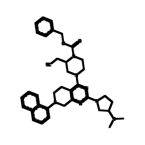 CN(C)C1CCN(c2nc3c(c(N4CCN(C(=O)OCc5ccccc5)C(CC#N)C4)n2)CCN(c2cccc4ccccc24)C3)C1